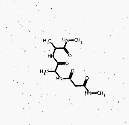 CNC(=O)CC(=O)NC(C)C(=O)NC(C)C(=O)NC